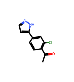 CC(=O)c1ccc(-c2ccn[nH]2)cc1Cl